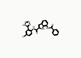 O=C(Nc1cccc2cc(C(=O)Nc3ccc(Cl)cc3-c3nnn[nH]3)[nH]c12)c1ccccc1